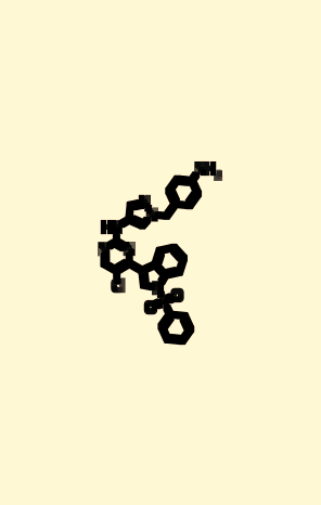 Nc1ccc(Cn2cc(Nc3ncc(Cl)c(-c4cn(S(=O)(=O)c5ccccc5)c5ccccc45)n3)cn2)cc1